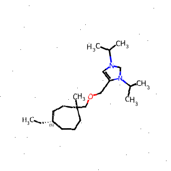 CC[C@H]1CCCC(C)(COCC2=CN(C(C)C)CN2C(C)C)CC1